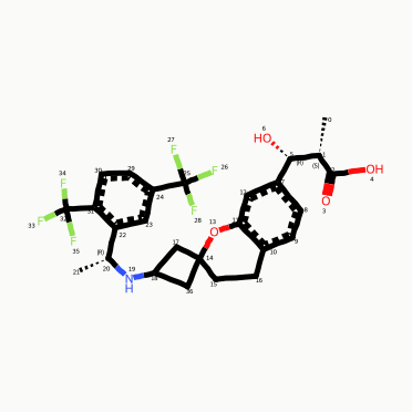 C[C@H](C(=O)O)[C@@H](O)c1ccc2c(c1)OC1(CC2)CC(N[C@H](C)c2cc(C(F)(F)F)ccc2C(F)(F)F)C1